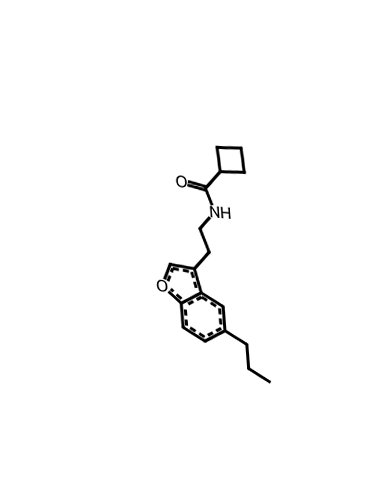 CCCc1ccc2occ(CCNC(=O)C3CCC3)c2c1